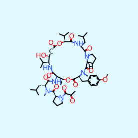 COc1ccc(C[C@H]2C(=O)O[C@@H](C)[C@@H](NC(=O)[C@@H](CC(C)C)N(C)C(=O)[C@@H]3CCCN3C(=O)C(C)=O)C(=O)N[C@@H](C(C)C)[C@@H](O)CC(=O)O[C@@H](C(C)C)C(=O)N[C@@H](CC(C)C)C(=O)N3CCC[C@H]3C(=O)N2C)cc1